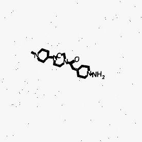 CN1CCC(N2CCN(C(=O)CC3CCN(N)CC3)CC2)CC1